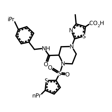 CCCc1ccc(S(=O)(=O)N2CCN(c3nc(C)c(C(=O)O)s3)CC2C(=O)NCc2ccc(C(C)C)cc2)s1